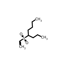 C=CS(=O)(=O)C(CCC)CCCC